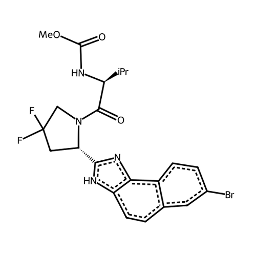 COC(=O)N[C@H](C(=O)N1CC(F)(F)C[C@H]1c1nc2c(ccc3cc(Br)ccc32)[nH]1)C(C)C